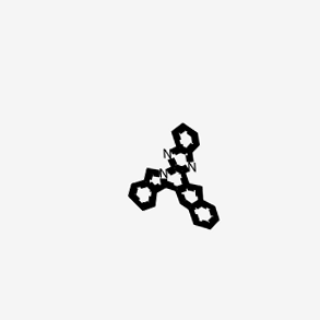 c1ccc2cc3c(cc2c1)c1nc2ccccc2nc1n1cc2ccccc2c31